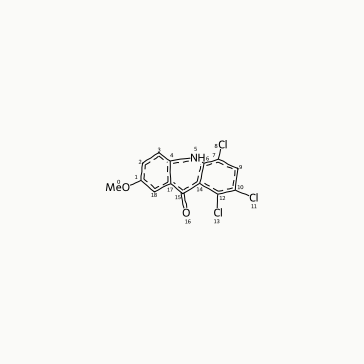 COc1ccc2[nH]c3c(Cl)cc(Cl)c(Cl)c3c(=O)c2c1